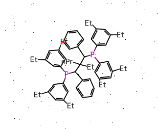 CCCC(CC)(C(c1ccccc1)P(c1cc(CC)cc(CC)c1)c1cc(CC)cc(CC)c1)C(c1ccccc1)P(c1cc(CC)cc(CC)c1)c1cc(CC)cc(CC)c1